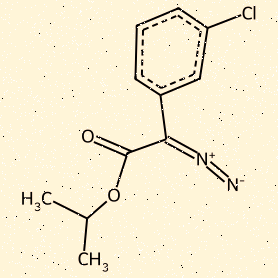 CC(C)OC(=O)C(=[N+]=[N-])c1cccc(Cl)c1